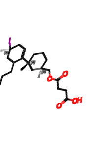 CCCC1C[C@@](C)(I)CC=C1[C@]1(C)CCC[C@@](C)(COC(=O)CCC(=O)O)C1